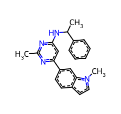 Cc1nc(NC(C)c2ccccc2)cc(-c2ccc3ccn(C)c3c2)n1